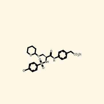 CCOC(=O)Cc1ccc(NC(=O)[C@H](COC2CCCCO2)NS(=O)(=O)c2ccc(Cl)cc2)cc1